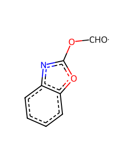 O=[C]Oc1nc2ccccc2o1